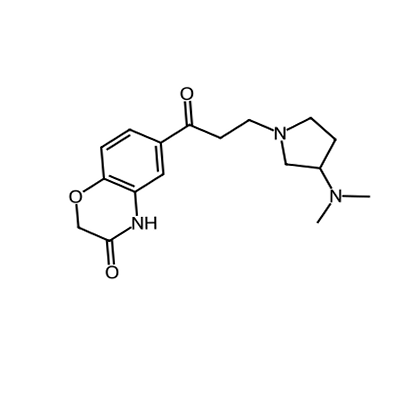 CN(C)C1CCN(CCC(=O)c2ccc3c(c2)NC(=O)CO3)C1